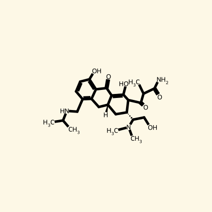 CC(C)NCc1ccc(O)c2c1C[C@H]1C[C@@H](C(CO)N(C)C)C(C(=O)C(C)C(N)=O)C(O)=C1C2=O